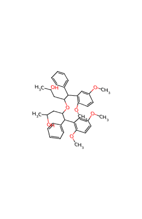 COc1ccc(OC)c(C(c2ccccc2)C(CC(C)O)OC(CC(C)O)C(c2ccccc2)c2cc(OC)ccc2OC)c1